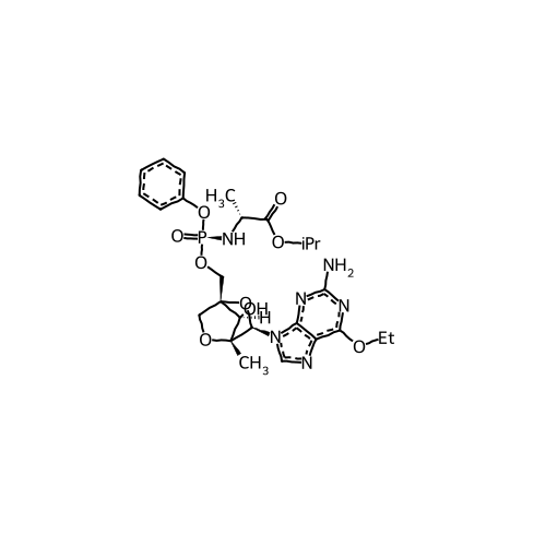 CCOc1nc(N)nc2c1ncn2[C@@H]1O[C@@]2(CO[P@@](=O)(N[C@H](C)C(=O)OC(C)C)Oc3ccccc3)CO[C@]1(C)[C@@H]2O